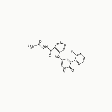 NC(=O)CNC(=O)c1cnccc1Nc1c[nH]c(=O)c(-c2ncccc2F)c1